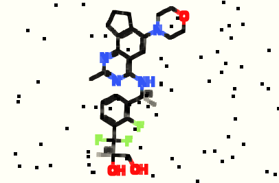 Cc1nc(N[C@H](C)c2cccc(C(F)(F)[C@](C)(O)CO)c2F)c2cc(N3CCOCC3)c3c(c2n1)CCC3